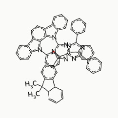 CC1(C)c2ccc(-c3nc(-c4ccccc4)nc(-n4c5ccccc5c5ccc6c7ccccc7n(-c7cccc(-c8nc(-c9ccccc9)nc(-c9ccccc9)n8)c7)c6c54)n3)cc2C2C=CC=CC21